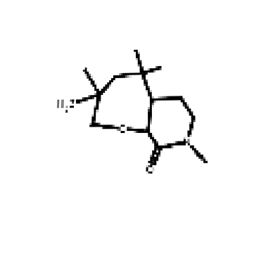 BC1(C)CCC2C(=O)N(C)CCC2C(C)(C)C1